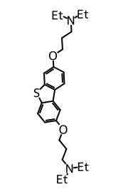 CCN(CC)CCCOc1ccc2c(c1)sc1ccc(OCCCN(CC)CC)cc12